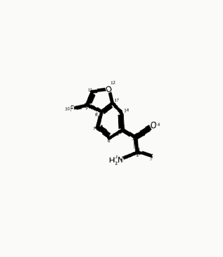 CC(N)C(=O)c1ccc2c(F)coc2c1